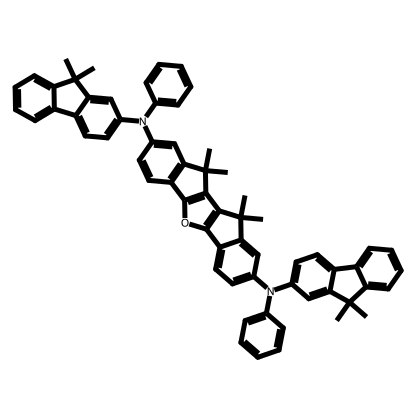 CC1(C)c2ccccc2-c2ccc(N(c3ccccc3)c3ccc4c(c3)C(C)(C)c3c-4oc4c3C(C)(C)c3cc(N(c5ccccc5)c5ccc6c(c5)C(C)(C)c5ccccc5-6)ccc3-4)cc21